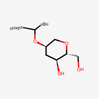 CCCCCCCC(CCCC)O[C@H]1CO[C@H](CO)[C@@H](O)C1